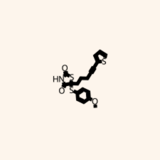 COc1ccc(SC2(CCCC#Cc3cccs3)SC(=O)NC2=O)cc1